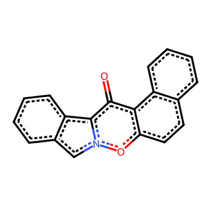 O=c1c2c(ccc3ccccc32)on2cc3ccccc3c12